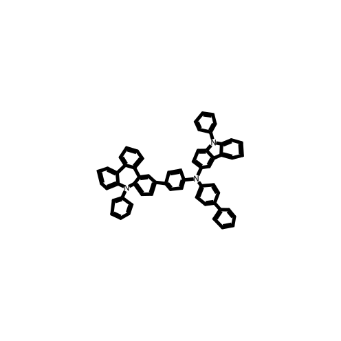 c1ccc(-c2ccc(N(c3ccc(-c4ccc5c(c4)-c4ccccc4-c4ccccc4N5c4ccccc4)cc3)c3ccc4c(c3)c3ccccc3n4-c3ccccc3)cc2)cc1